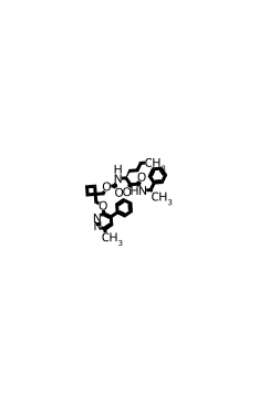 CCCC[C@H](NC(=O)OCC1(COc2nnc(C)cc2-c2ccccc2)CCC1)C(=O)C(=O)N[C@H](C)c1ccccc1